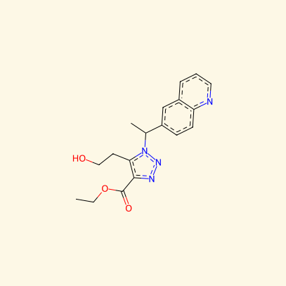 CCOC(=O)c1nnn(C(C)c2ccc3ncccc3c2)c1CCO